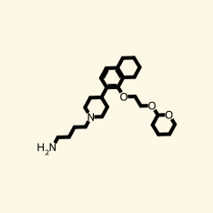 NCCCCN1CCC(c2ccc3c(c2OCCOC2CCCCO2)CCCC3)CC1